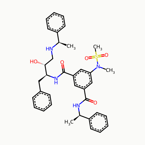 C[C@@H](NC[C@@H](O)[C@H](Cc1ccccc1)NC(=O)c1cc(C(=O)N[C@H](C)c2ccccc2)cc(N(C)S(C)(=O)=O)c1)c1ccccc1